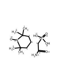 CC1(C)CCCC(C)(C)N1[O].NC(=O)CP(=O)(O)O